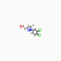 Cc1cc(CC=O)nn1-c1ccc(Cl)c(Cl)c1